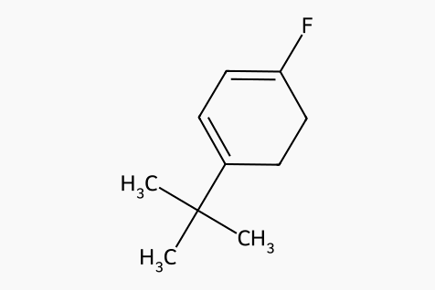 CC(C)(C)C1=CC=C(F)CC1